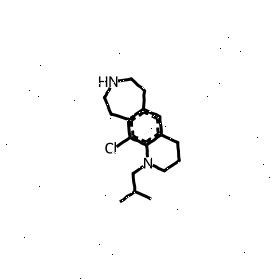 CC(C)CN1CCCc2cc3c(c(Cl)c21)CCNCC3